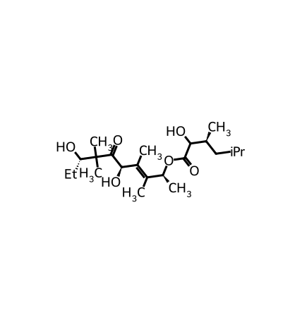 CC[C@H](O)C(C)(C)C(=O)[C@H](O)/C(C)=C(\C)[C@H](C)OC(=O)C(O)[C@@H](C)CC(C)C